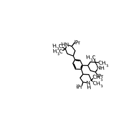 CC(C)C1CC(c2ccc(C3CC(C(C)C)NC(C)(C)C3)c(C3CC(C(C)C)NC(C)(C)C3)c2)CC(C)(C)N1